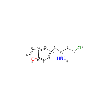 CNC(CCCl)Cc1ccc2occc2c1